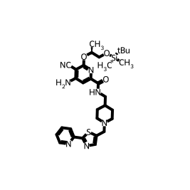 C[C@@H](CO[Si](C)(C)C(C)(C)C)Oc1nc(C(=O)NCC2CCN(Cc3cnc(-c4ccccn4)s3)CC2)cc(N)c1C#N